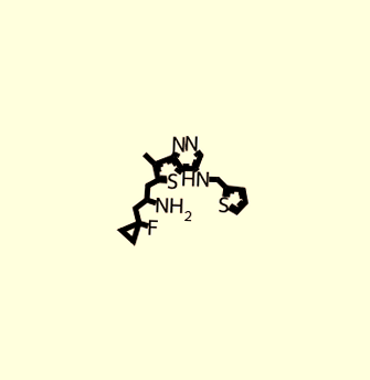 Cc1c(CC(N)CC2(F)CC2)sc2c(NCc3cccs3)cnnc12